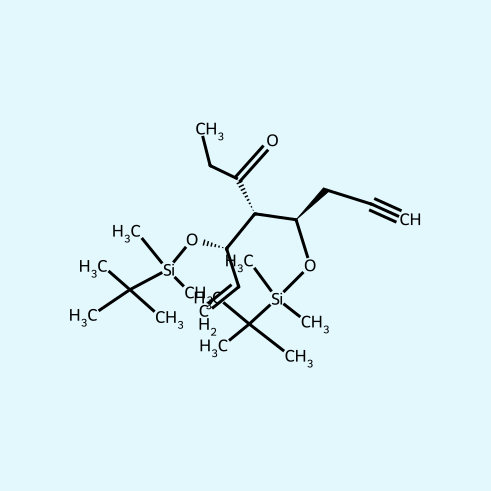 C#CC[C@@H](O[Si](C)(C)C(C)(C)C)[C@@H](C(=O)CC)[C@H](C=C)O[Si](C)(C)C(C)(C)C